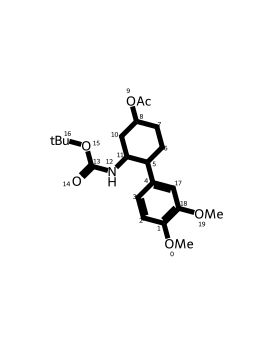 COc1ccc(C2CCC(OC(C)=O)CC2NC(=O)OC(C)(C)C)cc1OC